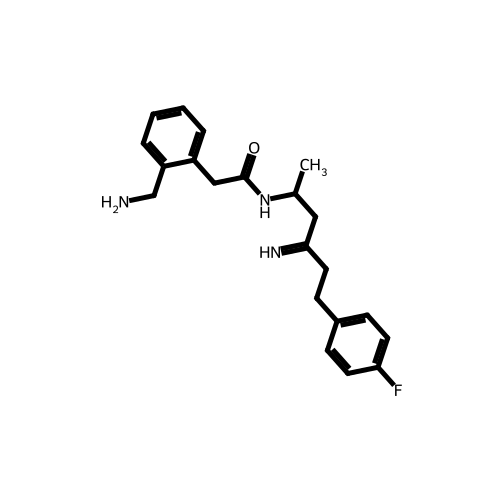 CC(CC(=N)CCc1ccc(F)cc1)NC(=O)Cc1ccccc1CN